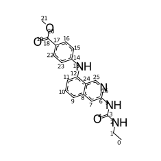 CCNC(=O)Nc1cc2cccc(Nc3ccc(C(=O)OC)cc3)c2cn1